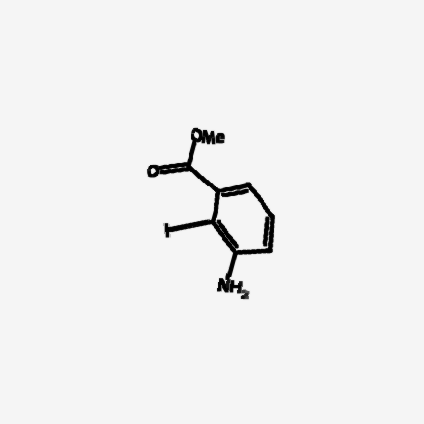 COC(=O)c1cccc(N)c1I